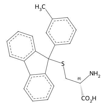 Cc1cccc(C2(SC[C@H](N)C(=O)O)c3ccccc3-c3ccccc32)c1